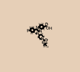 CN(c1nc2cc(C(=O)O)ccc2nc1-c1ccc(F)cc1)C1CCN(C(=O)OC(C)(C)C)CC1